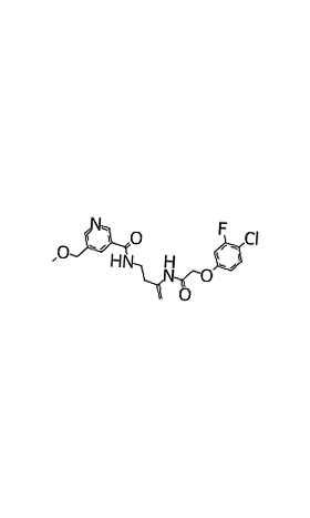 C=C(CCNC(=O)c1cncc(COC)c1)NC(=O)COc1ccc(Cl)c(F)c1